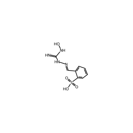 N=C(NO)N/N=C/c1ccccc1S(=O)(=O)O